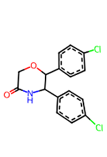 O=C1COC(c2ccc(Cl)cc2)C(c2ccc(Cl)cc2)N1